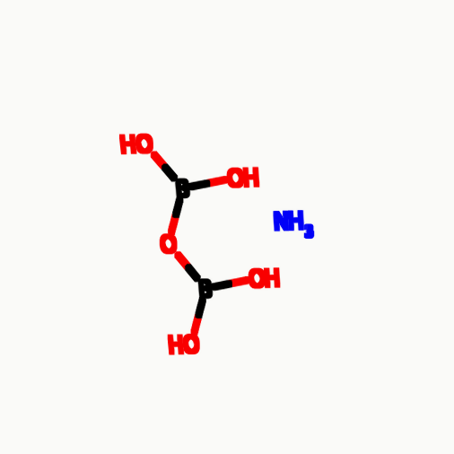 N.OB(O)OB(O)O